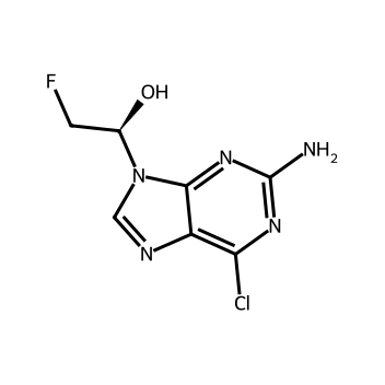 Nc1nc(Cl)c2ncn([C@H](O)CF)c2n1